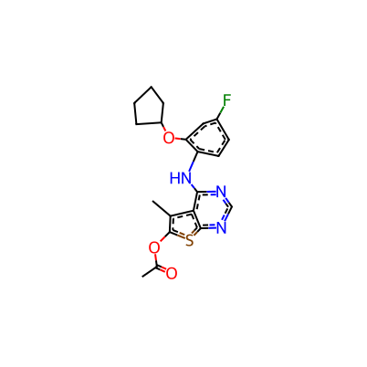 CC(=O)Oc1sc2ncnc(Nc3ccc(F)cc3OC3CCCC3)c2c1C